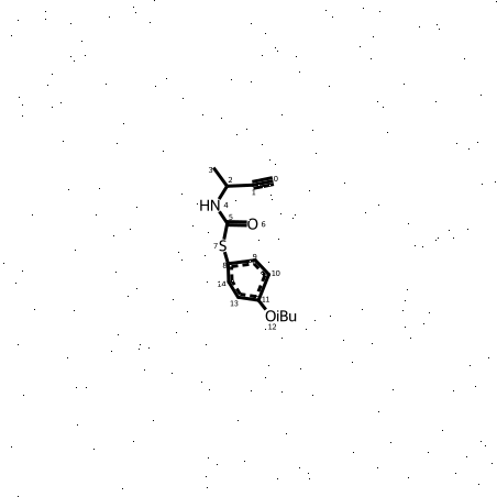 C#CC(C)NC(=O)Sc1ccc(OCC(C)C)cc1